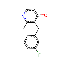 Cc1[nH]ccc(=O)c1Cc1cccc(F)c1